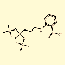 C[Si](C)(C)O[Si](C)(CCCNc1ccccc1[N+](=O)[O-])O[Si](C)(C)C